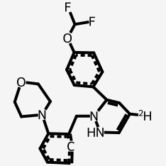 [2H]C1=CNN(Cc2ccccc2N2CCOCC2)C(c2ccc(OC(F)F)cc2)=C1